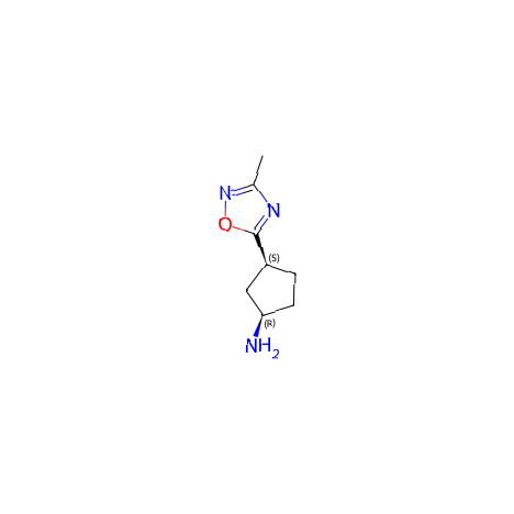 Cc1noc([C@H]2CC[C@@H](N)C2)n1